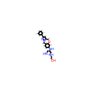 N=C/C(=C\NCCO)Nc1ccc2c(c1)OCc1cc(-c3ccccc3)nn1C2